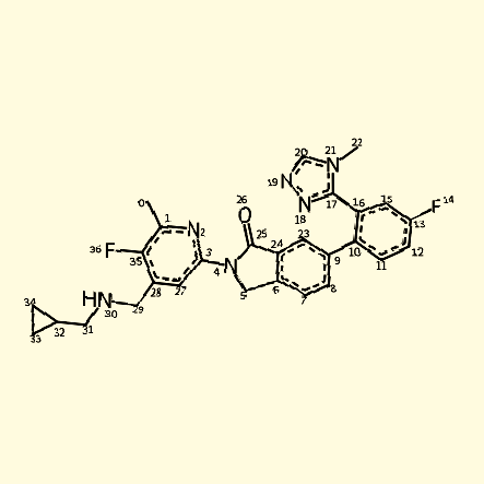 Cc1nc(N2Cc3ccc(-c4ccc(F)cc4-c4nncn4C)cc3C2=O)cc(CNCC2CC2)c1F